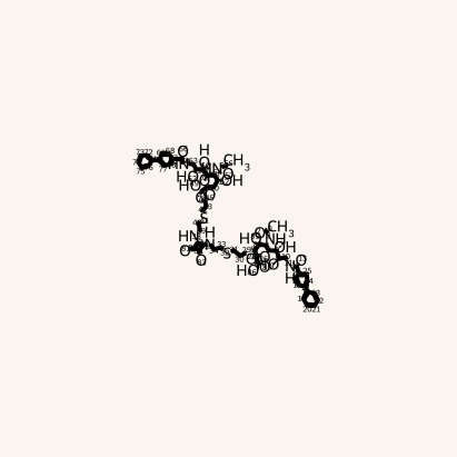 CC(=O)N[C@H]1[C@H]([C@H](O)[C@H](O)CNC(=O)c2ccc(-c3ccccc3)cc2)O[C@@](OCCCSCCNc2c(NCCSCCCO[C@]3(C(=O)O)C[C@H](O)[C@@H](NC(C)=O)[C@H]([C@H](O)[C@H](O)CNC(=O)c4ccc(-c5ccccc5)cc4)O3)c(=O)c2=O)(C(=O)O)C[C@@H]1O